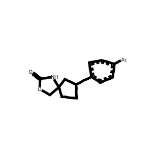 CC(=O)c1ccc(C2CCC3(COC(=O)N3)C2)cc1